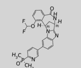 CP(C)(=O)c1ccc(-c2ccc3nc4n(c3c2)[C@@H]2C[C@H]4NC(=O)c3cccc(OC(F)F)c32)cn1